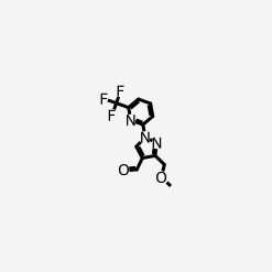 COCc1nn(-c2cccc(C(F)(F)F)n2)cc1C=O